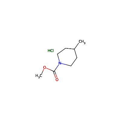 COC(=O)N1CCC(C)CC1.Cl